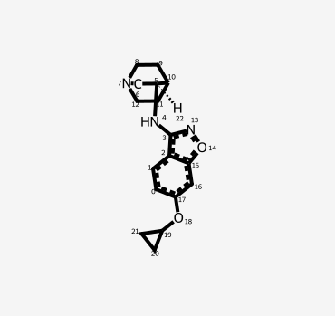 c1cc2c(N[C@H]3CN4CCC3CC4)noc2cc1OC1CC1